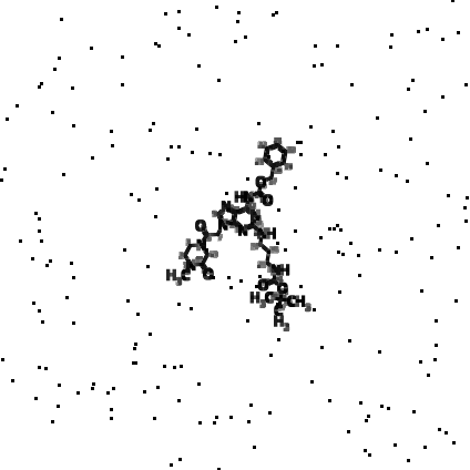 CN1CCN(C(=O)Cn2cnc3c(NC(=O)OCc4ccccc4)nc(NCCCNC(=O)OC(C)(C)C)nc32)CC1=O